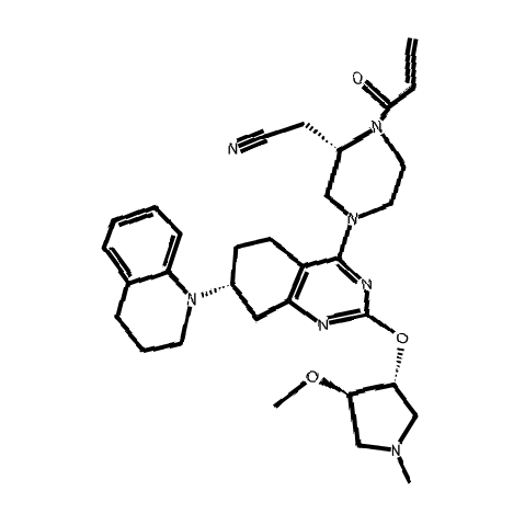 C=CC(=O)N1CCN(c2nc(O[C@@H]3CN(C)C[C@H]3OC)nc3c2CC[C@@H](N2CCCc4ccccc42)C3)C[C@@H]1CC#N